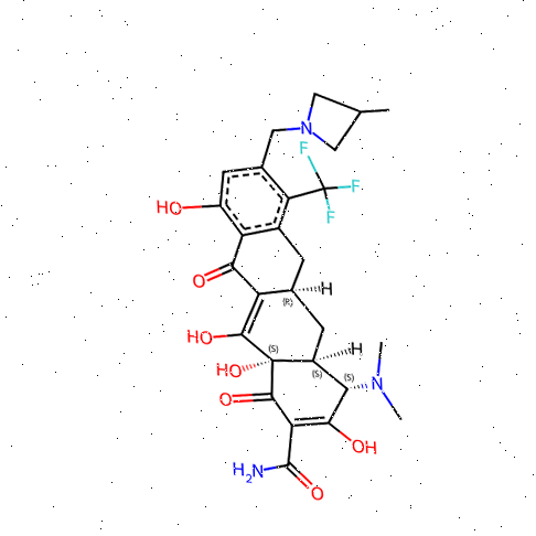 CC1CN(Cc2cc(O)c3c(c2C(F)(F)F)C[C@H]2C[C@H]4[C@H](N(C)C)C(O)=C(C(N)=O)C(=O)[C@@]4(O)C(O)=C2C3=O)C1